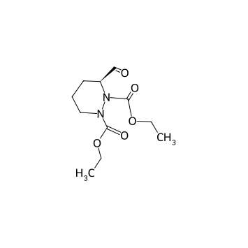 CCOC(=O)N1CCC[C@@H](C=O)N1C(=O)OCC